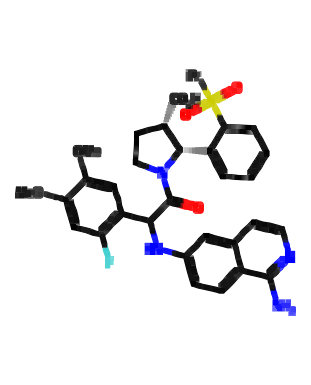 COc1cc(F)c(C(Nc2ccc3c(N)nccc3c2)C(=O)N2CC[C@H](C(=O)O)[C@@H]2c2ccccc2S(=O)(=O)C(C)C)cc1OC